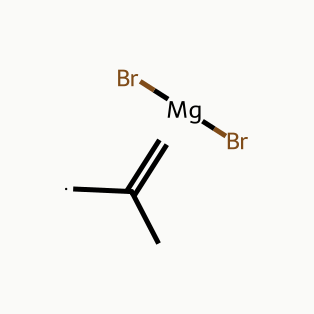 [Br][Mg][Br].[CH2]C(=C)C